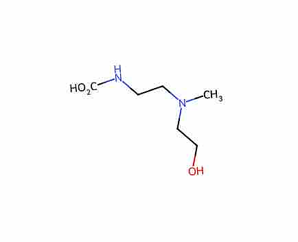 CN(CCO)CCNC(=O)O